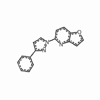 c1ccc(-c2ccn(-c3ccc4occc4n3)n2)cc1